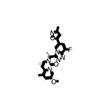 COc1cnc(/C=C\N(C=O)[C@H](C)c2nnc3c(F)cc(-c4cc(C)no4)cn23)c(C)c1